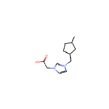 CC1CCC(C[n+]2ccn(CC(=O)O)c2)C1